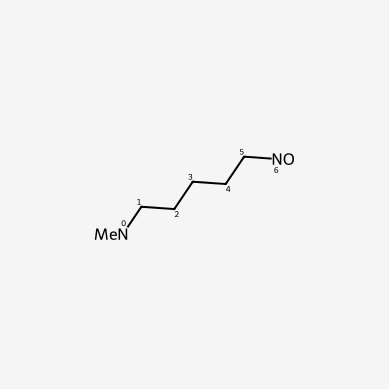 CNCCCCCN=O